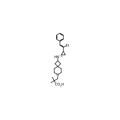 CCC(=Cc1ccccc1)C1C[C@@H]1NC1CC2(CCN(CC(C)(C)C(=O)O)CC2)C1